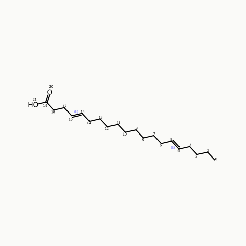 CCCC/C=C/CCCCCCCCC/C=C/CCC(=O)O